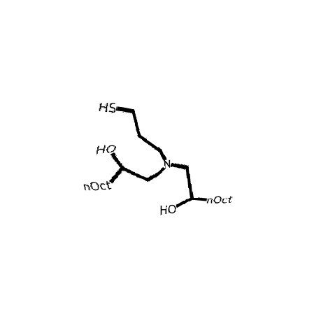 CCCCCCCCC(O)CN(CCCS)CC(O)CCCCCCCC